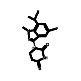 CC(C)c1cc(F)cc2c([C@H]3CCC(=O)NC3=O)nn(C)c12